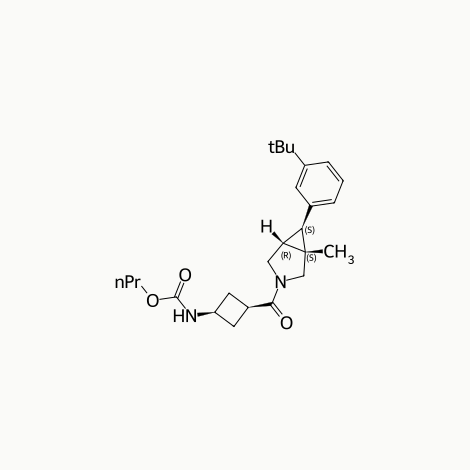 CCCOC(=O)N[C@H]1C[C@@H](C(=O)N2C[C@@H]3[C@@H](c4cccc(C(C)(C)C)c4)[C@]3(C)C2)C1